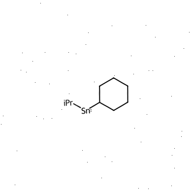 C[CH](C)[Sn][CH]1CCCCC1